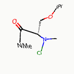 CNC(=O)[C@H](COC(C)C)N(C)Cl